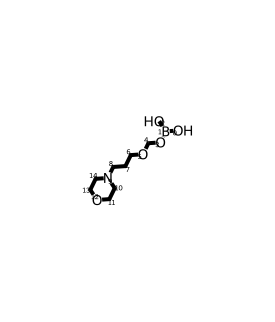 OB(O)OCOCCCN1CCOCC1